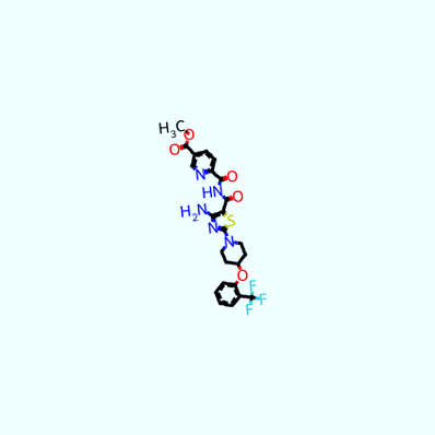 COC(=O)c1ccc(C(=O)NC(=O)c2sc(N3CCC(Oc4ccccc4C(F)(F)F)CC3)nc2N)nc1